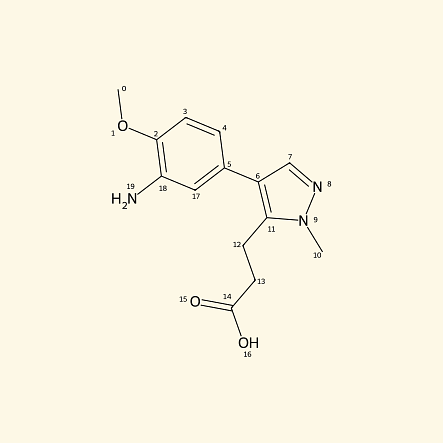 COc1ccc(-c2cnn(C)c2CCC(=O)O)cc1N